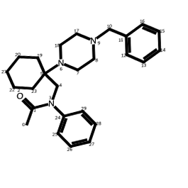 CC(=O)N(CC1(N2CCN(Cc3ccccc3)CC2)CCCCC1)c1ccccc1